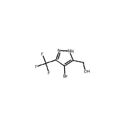 OCc1[nH]nc(C(F)(F)F)c1Br